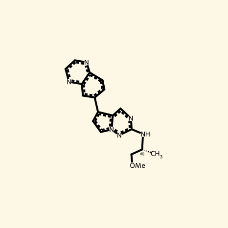 COC[C@@H](C)Nc1ncc2c(-c3ccc4nccnc4c3)ccn2n1